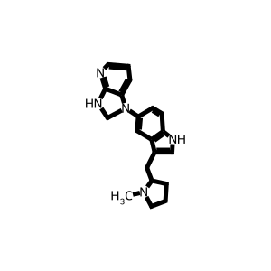 CN1CCCC1Cc1c[nH]c2ccc(N3CNc4ncccc43)cc12